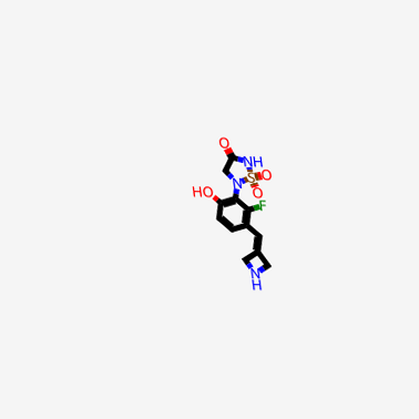 O=C1CN(c2c(O)ccc(C=C3CNC3)c2F)S(=O)(=O)N1